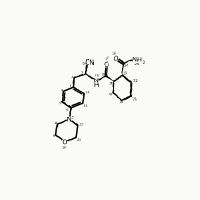 N#CC(Cc1ccc(N2CCOCC2)cc1)NC(=O)[C@@H]1CCCC[C@@H]1C(N)=O